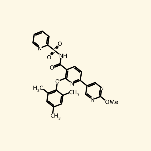 COc1ncc(-c2ccc(C(=O)NS(=O)(=O)c3ccccn3)c(Oc3c(C)cc(C)cc3C)n2)cn1